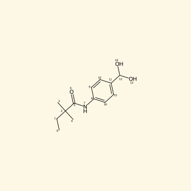 CCC(C)(C)C(=O)Nc1ccc(C(O)O)cc1